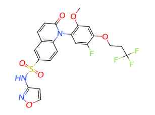 COc1cc(OCCC(F)(F)F)c(F)cc1-n1c(=O)ccc2cc(S(=O)(=O)Nc3ccon3)ccc21